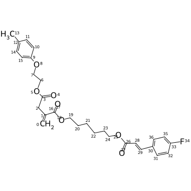 C=C(CC(=O)OCCOc1ccc(C)cc1)C(=O)OCCCCCCOC(=O)/C=C/c1ccc(F)cc1